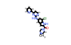 CN1CCN(C(=O)c2cc3cc(Nc4nccc(-c5ccccn5)n4)cc(Cl)c3[nH]2)CC1